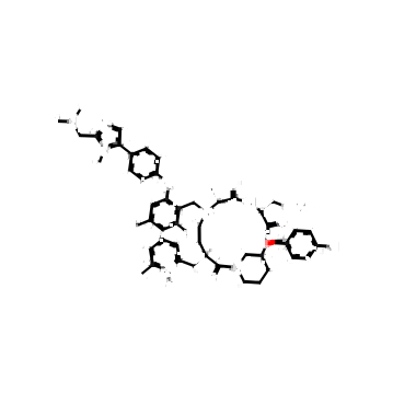 COC[C@@H]1NC(=O)[C@H](C)N(Cc2c(F)cc(Cl)cc2Oc2ccc(-c3cnc(CN(C)C)n3C)cc2)CC[C@H](Cc2cccc(C)[n+]2[O-])C(=O)N2CCC[C@@](Cc3ccc(Cl)cc3)(C2)N(C)C1=O